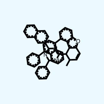 CC1C=Cc2oc3cccc(-c4ccc(-c5ccccc5)c5ccccc45)c3c2C1C1=NC(c2ccc3ccccc3c2)=NC(c2ccccc2)N1